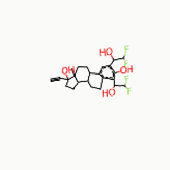 C#CC1(O)CCC2C3CCc4c(cc(C(O)C(F)F)c(O)c4C(O)C(F)F)C3CCC21C